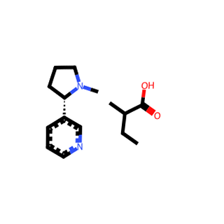 CCC(C)C(=O)O.CN1CCC[C@H]1c1cccnc1